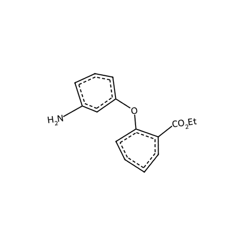 CCOC(=O)c1ccccc1Oc1cccc(N)c1